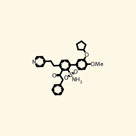 COc1ccc(-c2ccc(CCc3ccncc3)c(C(=O)Cc3ccccc3)c2S(N)(=O)=O)cc1OC1CCCC1